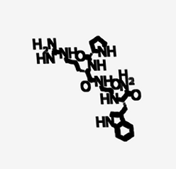 N=C(N)NCCC[C@H](NC(=O)[C@@H]1CCCN1)C(=O)NCC(=O)N[C@@H](Cc1c[nH]c2ccccc12)C(N)=O